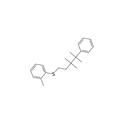 Cc1ccccc1SCCC(C)(C)C(C)(C)c1ccccc1